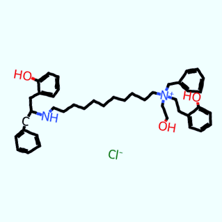 OCC[N+](CCCCCCCCCCCNC(Cc1ccccc1)Cc1ccccc1O)(CCc1ccccc1O)Cc1ccccc1.[Cl-]